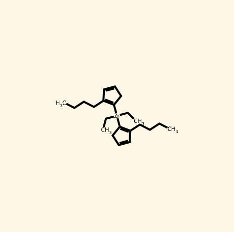 CCCCC1=[C]([Zr]([CH2]C)([CH2]C)[C]2=C(CCCC)C=CC2)CC=C1